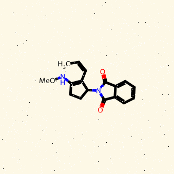 C/C=C\C1=C(NOC)CCC1N1C(=O)c2ccccc2C1=O